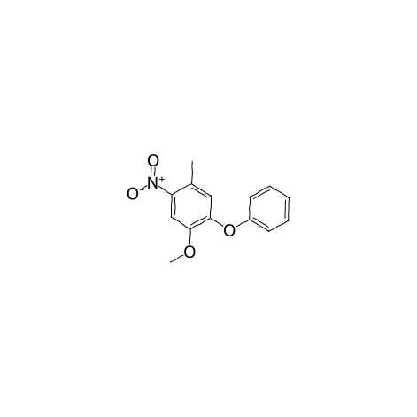 COc1cc([N+](=O)[O-])c(C)cc1Oc1ccccc1